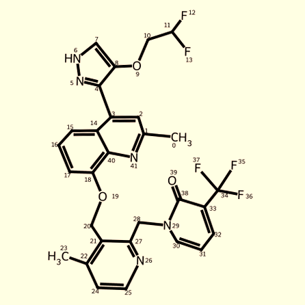 Cc1cc(-c2n[nH]cc2OCC(F)F)c2cccc(OCc3c(C)ccnc3Cn3cccc(C(F)(F)F)c3=O)c2n1